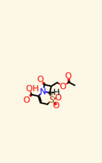 CC(=O)OCC1C(=O)N2C(C(=O)O)=CCS(=O)(=O)[C@@H]12